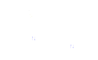 N#CC1CS[C]=N1